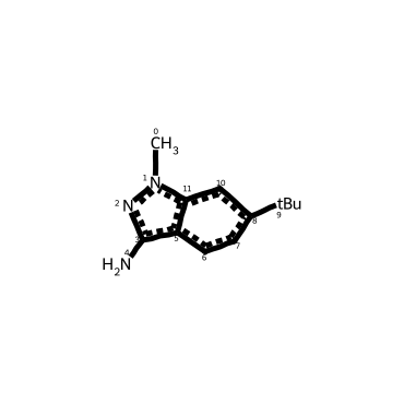 Cn1nc(N)c2ccc(C(C)(C)C)cc21